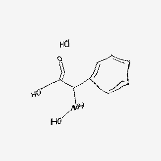 Cl.O=C(O)C(NO)c1ccccc1